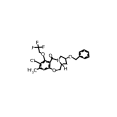 Cc1cc2c(c(OCC(F)(F)F)c1Cl)C(=O)N1C[C@@H](OCc3ccccc3)C[C@@H]1CO2